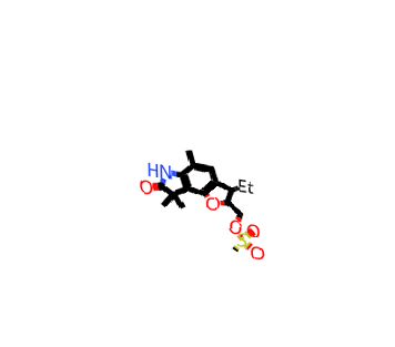 CCC1c2cc(C)c3c(c2OC1COS(C)(=O)=O)C(C)(C)C(=O)N3